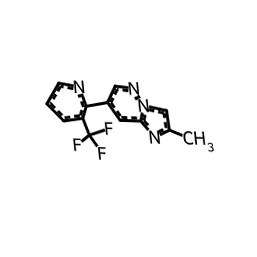 Cc1cn2ncc(-c3ncccc3C(F)(F)F)cc2n1